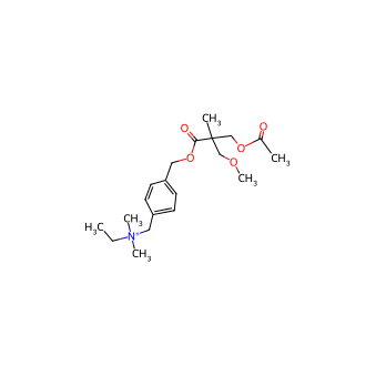 CC[N+](C)(C)Cc1ccc(COC(=O)C(C)(COC)COC(C)=O)cc1